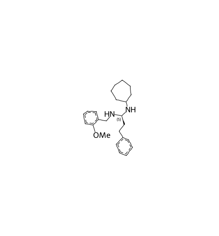 COc1ccccc1CN[C@H](CCc1ccccc1)NC1CCCCCC1